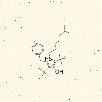 CC(C)CCCCC[SH]1C(Cc2ccccc2)=C(C(C)(C)C)C(O)=C1C(C)(C)C